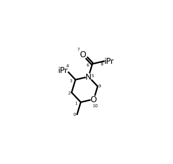 CC1CC(C(C)C)N(C(=O)C(C)C)CO1